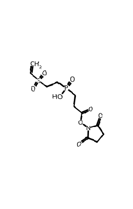 C=CS(=O)(=O)CCP(=O)(O)CCC(=O)ON1C(=O)CCC1=O